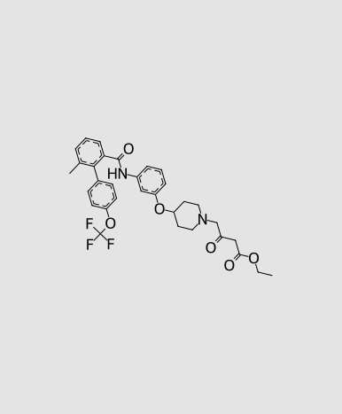 CCOC(=O)CC(=O)CN1CCC(Oc2cccc(NC(=O)c3cccc(C)c3-c3ccc(OC(F)(F)F)cc3)c2)CC1